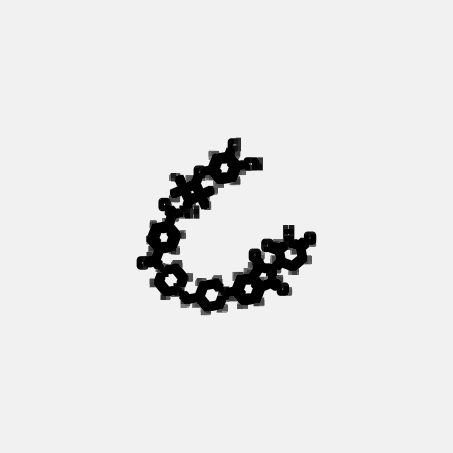 CC1(C)C(NC(=O)c2ccc(C(=O)N3CCN(CC4CCN(c5ccc6c(c5)C(=O)N(C5CCC(=O)NC5=O)C6=O)CC4)CC3)cc2)C(C)(C)C1Oc1ccc(C#N)c(Cl)c1